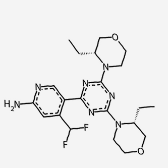 CC[C@@H]1COCCN1c1nc(-c2cnc(N)cc2C(F)F)nc(N2CCOC[C@H]2CC)n1